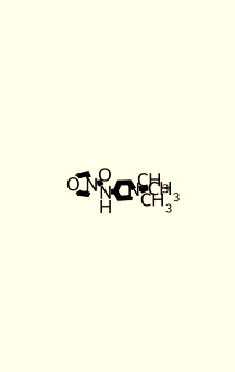 CC(C)(C)N1CCC(NC(=O)N2CCOCC2)CC1